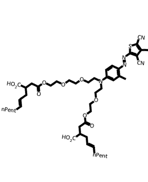 CCCCC/C=C/CC(CC(=O)OCCOCCOCCN(CCOCCOC(=O)CC(C/C=C/CCCCC)C(=O)O)c1ccc(/N=N/c2sc(C#N)c(C)c2C#N)c(C)c1)C(=O)O